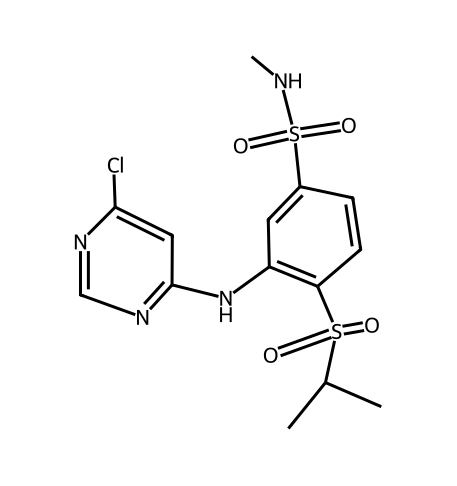 CNS(=O)(=O)c1ccc(S(=O)(=O)C(C)C)c(Nc2cc(Cl)ncn2)c1